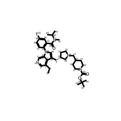 CCc1cncc2c1c(C[C@@H]1CCN(CC3CCN(C(=O)OC(C)(C)C)CC3)C1)cn2-c1ccc(F)cc1C(=O)N(C)C(C)C